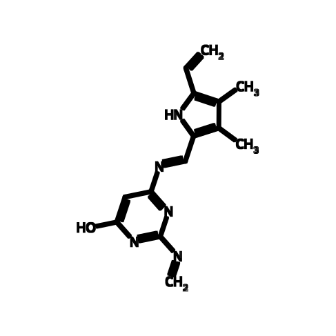 C=Cc1[nH]c(C=Nc2cc(O)nc(N=C)n2)c(C)c1C